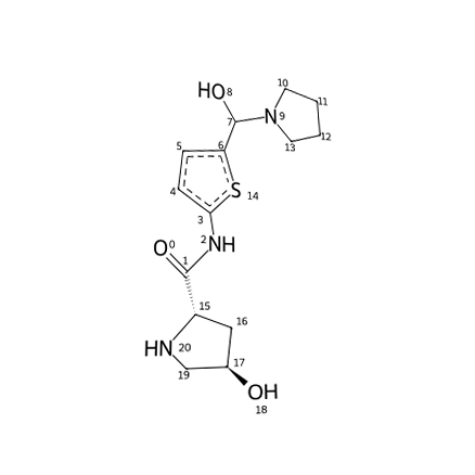 O=C(Nc1ccc(C(O)N2CCCC2)s1)[C@@H]1C[C@@H](O)CN1